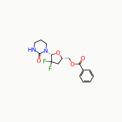 O=C(OC[C@@H]1CC(F)(F)[C@H](N2CCCNC2=O)O1)c1ccccc1